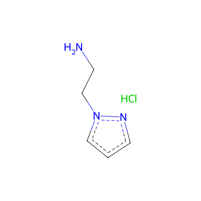 Cl.NCCn1cccn1